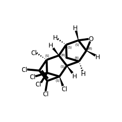 ClC1=C(Cl)[C@@]2(Cl)[C@H]3[C@H]4C[C@H]([C@@H]5O[C@H]45)[C@H]3[C@@]1(Cl)C2(Cl)Cl